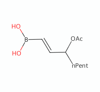 CCCCCC(C=CB(O)O)OC(C)=O